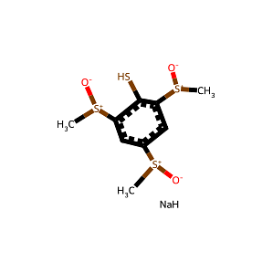 C[S+]([O-])c1cc([S+](C)[O-])c(S)c([S+](C)[O-])c1.[NaH]